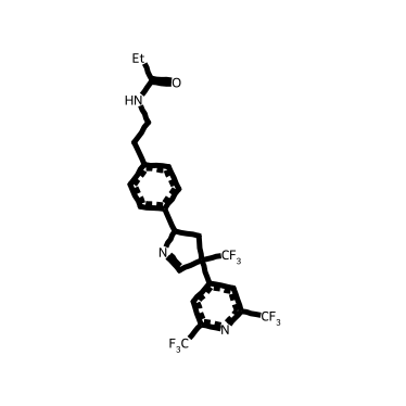 CCC(=O)NCCc1ccc(C2CC(c3cc(C(F)(F)F)nc(C(F)(F)F)c3)(C(F)(F)F)C=N2)cc1